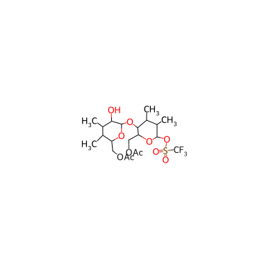 CC(=O)OCC1OC(OC2C(COC(C)=O)OC(OS(=O)(=O)C(F)(F)F)C(C)C2C)C(O)C(C)C1C